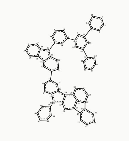 c1ccc(-c2cc(-c3cccc(-n4c5ccccc5c5cc(-c6ccc7c(c6)c6c8cccc9c8c(cc6n7-c6ccccc6)-c6ccccc6-9)ccc54)c3)nc(-c3ccccc3)n2)cc1